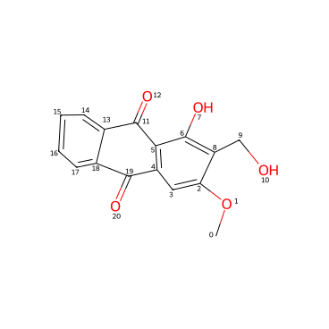 COc1cc2c(c(O)c1CO)C(=O)c1ccccc1C2=O